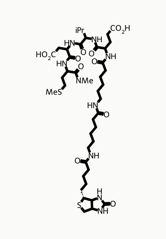 CNC(=O)C(CCSC)NC(=O)C(CC(=O)O)NC(=O)C(NC(=O)C(CCC(=O)O)NC(=O)CCCCCNC(=O)CCCCCNC(=O)CCCC[C@H]1SCC2NC(=O)NC21)C(C)C